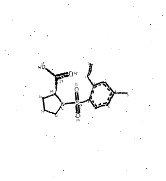 C=Cc1cc(C)ccc1S(=O)(=O)N1CCC[C@H]1C(=O)O